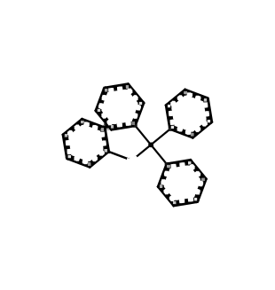 c1ccc(SC(c2ccccc2)(c2ccccc2)c2ccccc2)cc1